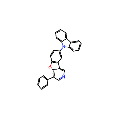 c1ccc(-c2cncc3c2oc2ccc(-n4c5ccccc5c5ccccc54)cc23)cc1